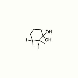 CC1(I)CCCC(O)(O)C1(C)I